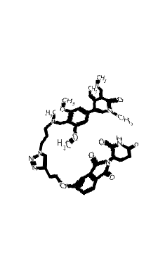 C=N/C=c1/c(=O)n(C)cc(-c2cc(OC)c(CN(C)CCCn3cc(CCOc4ccc5c(c4)C(=O)N(C4CCC(=O)NC4=O)C5=O)nn3)c(OC)c2)/c1=C/C